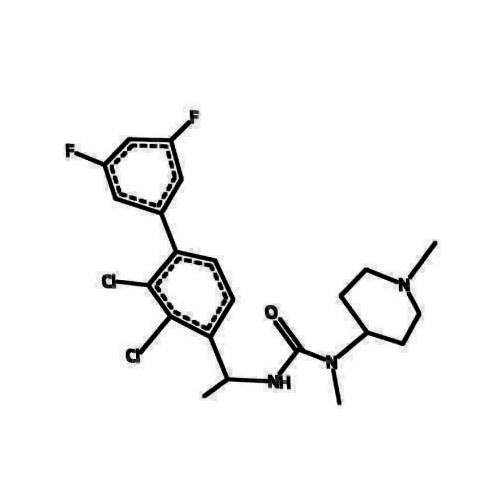 CC(NC(=O)N(C)C1CCN(C)CC1)c1ccc(-c2cc(F)cc(F)c2)c(Cl)c1Cl